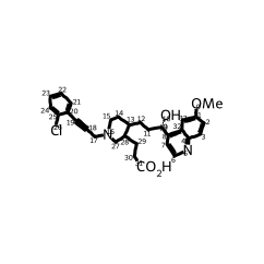 COc1ccc2nccc([C@@H](O)CCC3CCN(CC#Cc4ccccc4Cl)CC3CCC(=O)O)c2c1